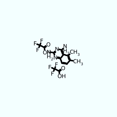 Cc1ccc2nc(N)nc(N)c2c1C.O=C(O)C(F)(F)F.O=C(O)C(F)(F)F